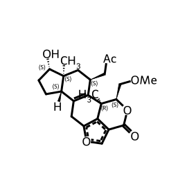 COC[C@H]1OC(=O)c2coc3c2[C@@]1(C)C1=C(C3)[C@@H]2CC[C@H](O)[C@@]2(C)C[C@H]1CC(C)=O